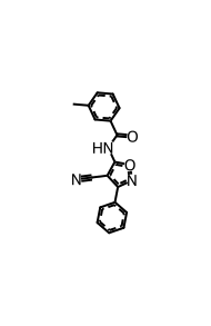 Cc1cccc(C(=O)Nc2onc(-c3ccccc3)c2C#N)c1